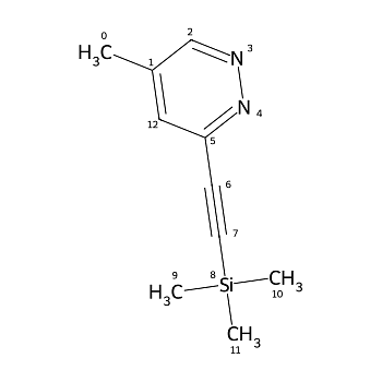 Cc1cnnc(C#C[Si](C)(C)C)c1